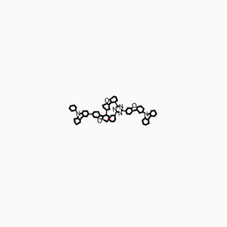 c1ccc(-c2nc(-c3ccc4c(c3)oc3ccc(-n5c6ccccc6c6ccccc65)cc34)nc(-c3cccc4oc5ccc(-c6cccc7oc8cc(-c9ccc%10c(c9)c9ccccc9n%10-c9ccccc9)ccc8c67)cc5c34)n2)cc1